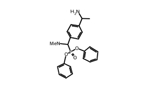 CNC(c1ccc(C(C)N)cc1)P(=O)(Oc1ccccc1)Oc1ccccc1